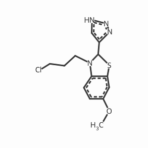 COc1ccc2c(c1)SC(c1c[nH]nn1)N2CCCCl